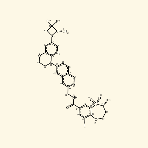 C[C@H]1N(c2cnc3c(c2)OCCN3c2ccc3cnc(CNC(=O)c4cc(F)c5c(c4)S(=O)(=O)[C@@H](F)CCO5)cc3n2)CC1(F)F